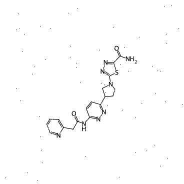 NC(=O)c1nnc(N2CCC(c3ccc(NC(=O)Cc4ccccn4)nn3)C2)s1